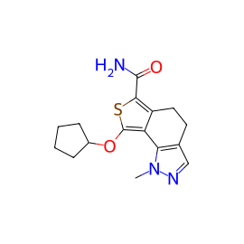 Cn1ncc2c1-c1c(OC3CCCC3)sc(C(N)=O)c1CC2